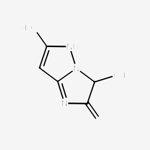 CC1=CC2=NC(=O)C(C)N2N1